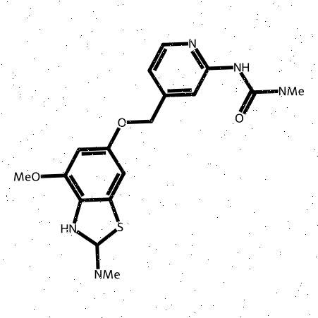 CNC(=O)Nc1cc(COc2cc(OC)c3c(c2)SC(NC)N3)ccn1